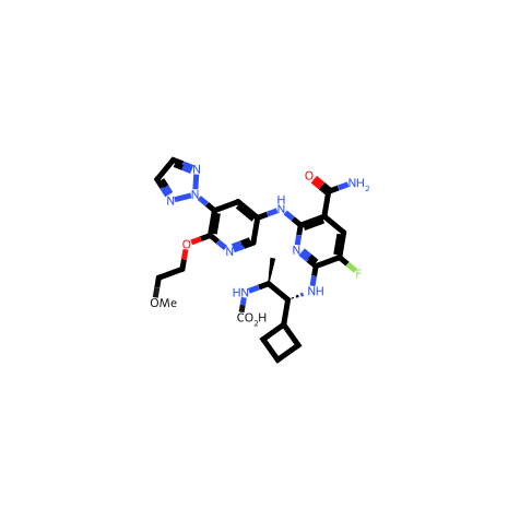 COCCOc1ncc(Nc2nc(N[C@H](C3CCC3)[C@H](C)NC(=O)O)c(F)cc2C(N)=O)cc1-n1nccn1